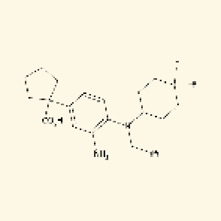 CC(C)CN(c1ccc(C2(C(=O)O)CCCC2)cc1N)C1CCC(F)(F)CC1